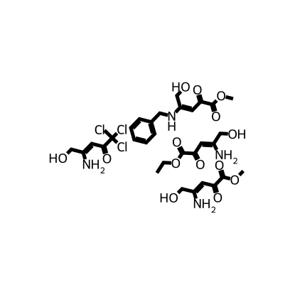 CCOC(=O)C(=O)C=C(N)CO.COC(=O)C(=O)C=C(CO)NCc1ccccc1.COC(=O)C(=O)C=C(N)CO.NC(=CC(=O)C(Cl)(Cl)Cl)CO